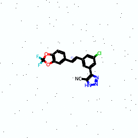 N#Cc1[nH]nnc1-c1cc(Cl)cc(/C=C/c2ccc3c(c2)OC(F)(F)O3)c1